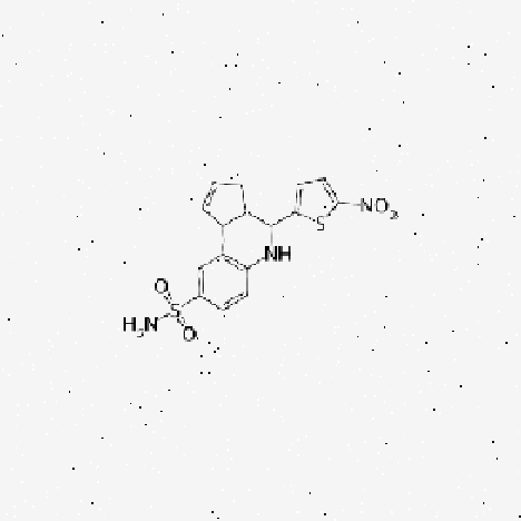 NS(=O)(=O)c1ccc2c(c1)C1C=CCC1C(c1ccc([N+](=O)[O-])s1)N2